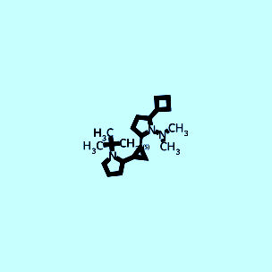 CN(C)N1C(C2CCC2)CCC1[C@H]1CC1C1CCCN1C(C)(C)C